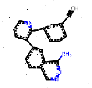 C#Cc1cccc(-c2ncccc2-c2ccc3cnnc(N)c3c2)c1